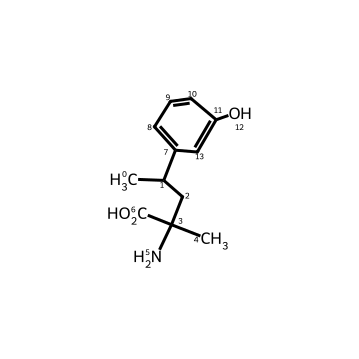 CC(CC(C)(N)C(=O)O)c1cccc(O)c1